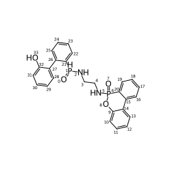 O=[PH](NCCNP1(=O)Oc2ccccc2-c2ccccc21)c1ccccc1-c1ccccc1O